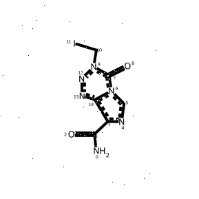 NC(=O)c1ncn2c(=O)n(CI)nnc12